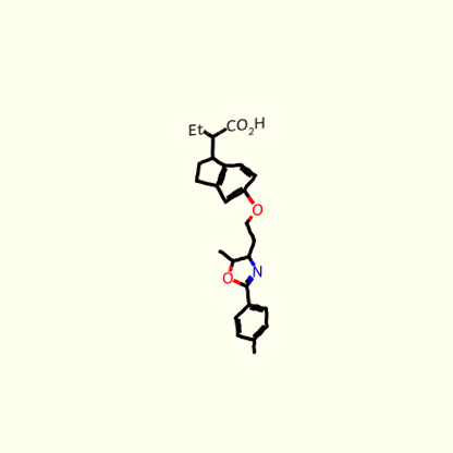 CCC(C(=O)O)C1CCc2cc(OCCC3N=C(c4ccc(C)cc4)OC3C)ccc21